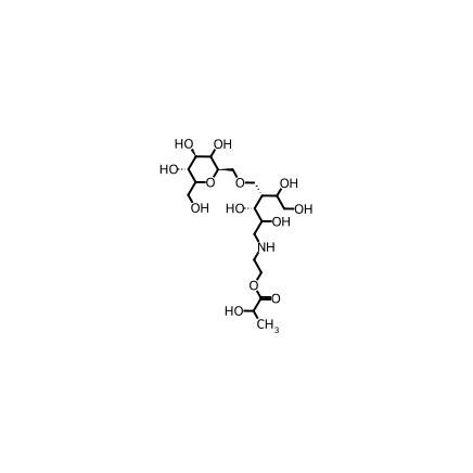 CC(O)C(=O)OCCNCC(O)[C@H](O)[C@H](COC[C@H]1OC(CO)[C@H](O)[C@@H](O)C1O)C(O)CO